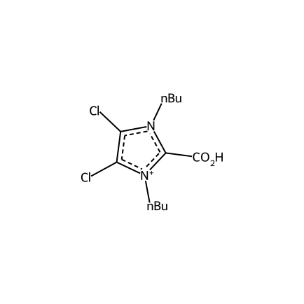 CCCCn1c(Cl)c(Cl)[n+](CCCC)c1C(=O)O